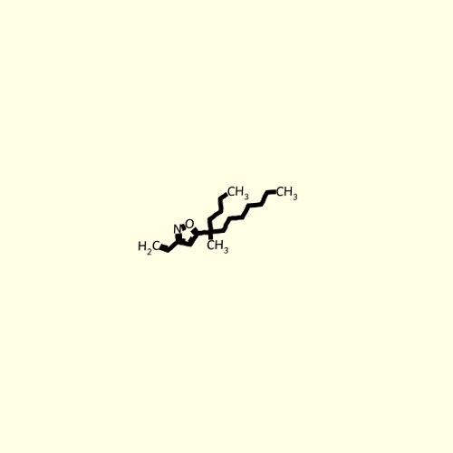 C=Cc1cc(C(C)(CCCC)CCCCCCC)on1